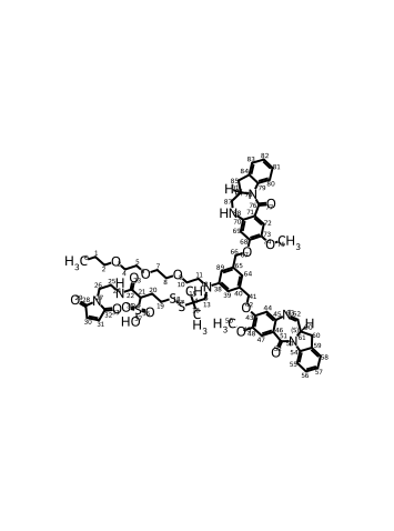 CCCOCCOCCOCCN(CC(C)(C)SSCCC(C(=O)NCCN1C(=O)C=CC1=O)S(=O)(=O)O)c1cc(COc2cc3c(cc2OC)C(=O)N2c4ccccc4C[C@H]2C=N3)cc(COc2cc3c(cc2OC)C(=O)N2c4ccccc4C[C@H]2CN3)c1